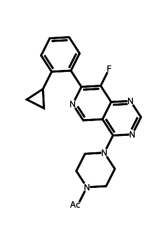 CC(=O)N1CCN(c2ncnc3c(F)c(-c4ccccc4C4CC4)ncc23)CC1